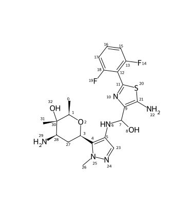 C[C@H]1O[C@@H](c2c(NC(O)c3nc(-c4c(F)cccc4F)sc3N)cnn2C)C[C@@H](N)[C@]1(C)O